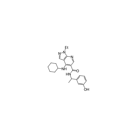 CCn1ncc2c(NC3CCCCC3)c(C(=O)NC(C)c3cccc(O)c3)cnc21